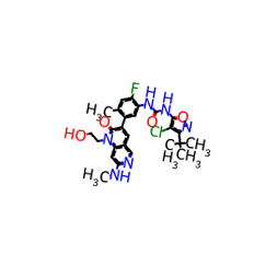 CNc1cc2c(cn1)cc(-c1cc(NC(=O)Nc3onc(C(C)(C)C)c3Cl)c(F)cc1C)c(=O)n2CCO